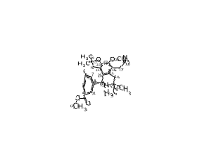 COC(=O)c1cccc(C2=NC(C)(C)Cc3c(CC#N)c(OC)c4c(c32)CC(C)(C)O4)c1